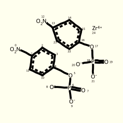 O=[N+]([O-])c1ccc(OP(=O)([O-])[O-])cc1.O=[N+]([O-])c1ccc(OP(=O)([O-])[O-])cc1.[Zr+4]